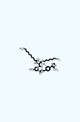 Cc1ncsc1-c1ccc(CNC(=O)[C@@H]2C[C@@H](O)CN2C(=O)[C@@H](NC(=O)CCCCCCCCN)C(C)(C)SCCCCCCN)cc1